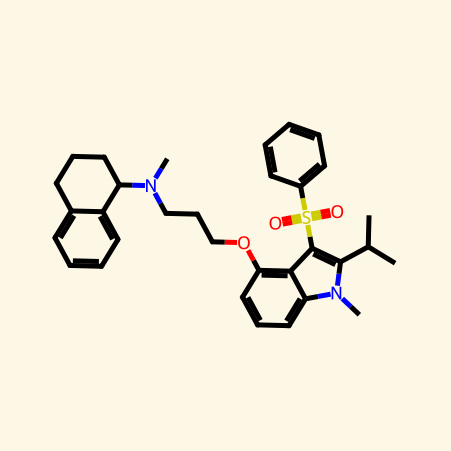 CC(C)c1c(S(=O)(=O)c2ccccc2)c2c(OCCCN(C)C3CCCc4ccccc43)cccc2n1C